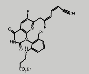 C#C/C=C\C=C(\F)Cc1nc2c(cc1F)c(=O)[nH]c(=O)n2-c1c(NCCC(=O)OCC)cccc1C(C)C